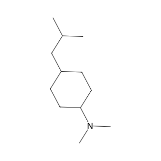 CC(C)CC1CCC(N(C)C)CC1